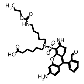 CCCOC(=O)NCCCCCN(CCCCCC(=O)O)S(=O)(=O)c1c2oc3cc(N)ccc3c(-c3ccccc3C=O)c-2ccc1=N